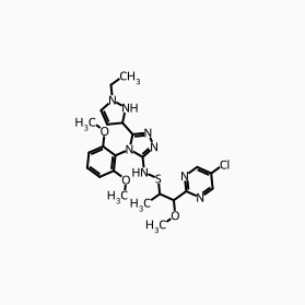 CCN1C=CC(c2nnc(NSC(C)C(OC)c3ncc(Cl)cn3)n2-c2c(OC)cccc2OC)N1